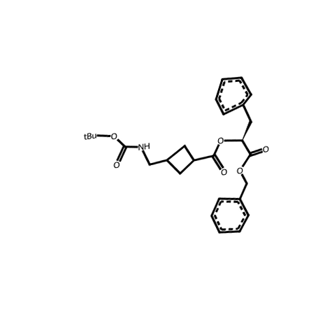 CC(C)(C)OC(=O)NCC1CC(C(=O)O[C@@H](Cc2ccccc2)C(=O)OCc2ccccc2)C1